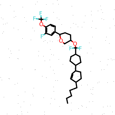 CCCCCC1C=CC(C2CCC(C(F)(F)OC3CCC(c4ccc(OC(F)(F)F)c(F)c4)OC3)CC2)CC1